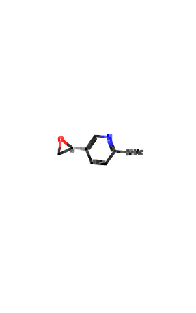 CC(=O)Nc1ccc([C@@H]2CO2)cn1